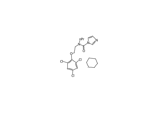 CCCN(CCOc1c(Cl)cc(Cl)cc1Cl)C(=O)n1ccnc1.[CH]1CCCCC1